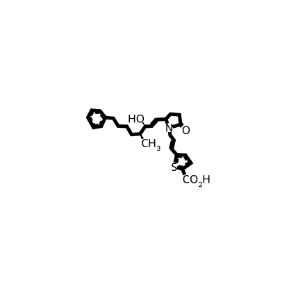 C[C@@H](CCCCc1ccccc1)[C@H](O)C=CC1CCC(=O)N1CC=Cc1ccc(C(=O)O)s1